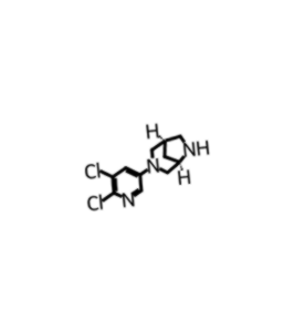 Clc1cc(N2C[C@H]3CN[C@H](C3)C2)cnc1Cl